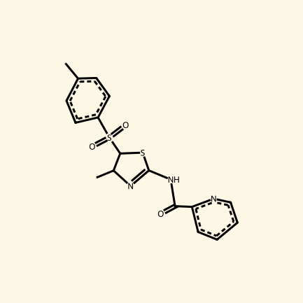 Cc1ccc(S(=O)(=O)C2SC(NC(=O)c3ccccn3)=NC2C)cc1